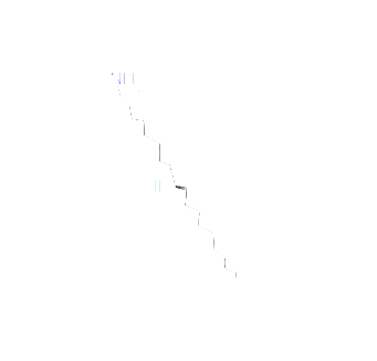 CCCCCCCCC=CCCCCCCCCN.F